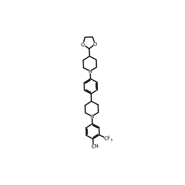 N#Cc1ccc(N2CCC(c3ccc(N4CCC(C5OCCO5)CC4)cc3)CC2)cc1C(F)(F)F